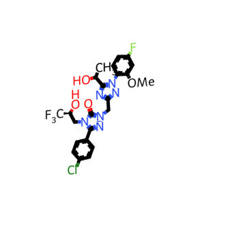 COc1cc(F)ccc1-n1nc(Cn2nc(-c3ccc(Cl)cc3)n(C[C@H](O)C(F)(F)F)c2=O)nc1C(C)O